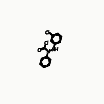 O=C(Cl)N(Nc1cccc(Cl)c1)c1ccccc1